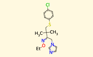 CCON=C(Cn1ccnc1)C(C)(C)CSc1ccc(Cl)cc1